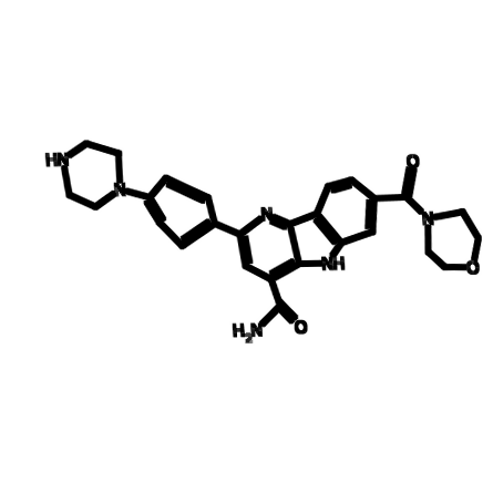 NC(=O)c1cc(-c2ccc(N3CCNCC3)cc2)nc2c1[nH]c1cc(C(=O)N3CCOCC3)ccc12